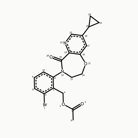 CC(=O)OCc1c(Br)cccc1N1CCOc2cc(C3CC3)cnc2C1=O